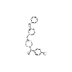 O=C(c1ccc(Cl)cc1)C1CCN(Cc2cccc(Oc3ccccc3)c2)CC1